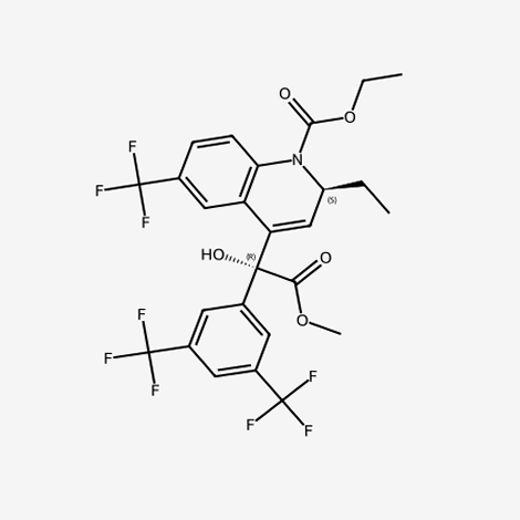 CCOC(=O)N1c2ccc(C(F)(F)F)cc2C([C@@](O)(C(=O)OC)c2cc(C(F)(F)F)cc(C(F)(F)F)c2)=C[C@@H]1CC